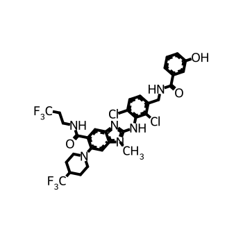 Cn1c(Nc2c(Cl)ccc(CNC(=O)c3cccc(O)c3)c2Cl)nc2cc(C(=O)NCCC(F)(F)F)c(N3CCC(C(F)(F)F)CC3)cc21